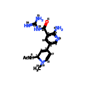 CC(=O)NC1C=C(c2cnc(N)c(C(=O)NC(=N)N)c2)C=CN1C